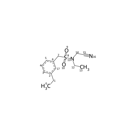 CCc1cccc(CS(=O)(=O)N(CC)CC#N)c1